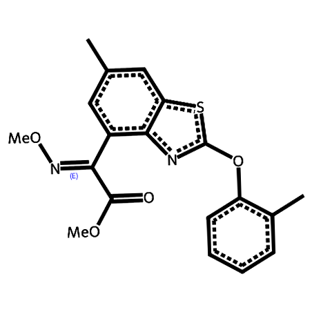 CO/N=C(/C(=O)OC)c1cc(C)cc2sc(Oc3ccccc3C)nc12